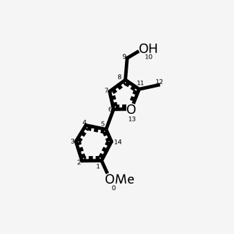 COc1cccc(-c2cc(CO)c(C)o2)c1